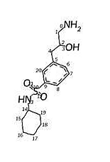 NCC(O)Cc1cccc(S(=O)(=O)NC2CCCCC2)c1